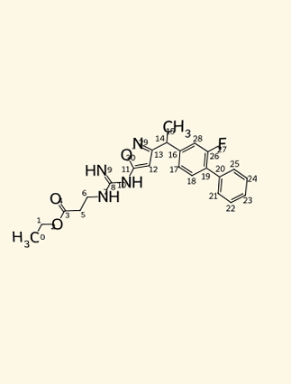 CCOC(=O)CCNC(=N)Nc1cc(C(C)c2ccc(-c3ccccc3)c(F)c2)no1